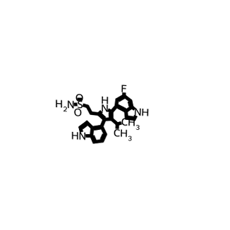 CC(C)c1c(-c2cc(F)cc3[nH]ccc23)[nH]c(CCS(N)(=O)=O)c1-c1cccc2[nH]ccc12